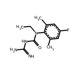 CCN(C(=O)NC(=N)N)c1c(C)cc(F)cc1C